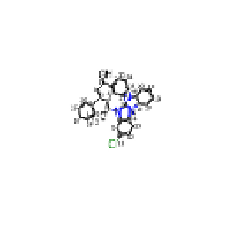 C=C(/C=C(\C=C(/C)n1c2cc(Cl)ccc2n2c3ccccc3nc12)c1ccccc1)c1ccccc1